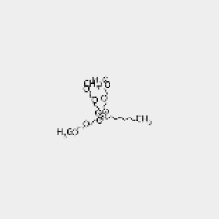 CCCCCCCC[Si](OCCOCCOC)(OCCOCCOC)OCCOCCOC